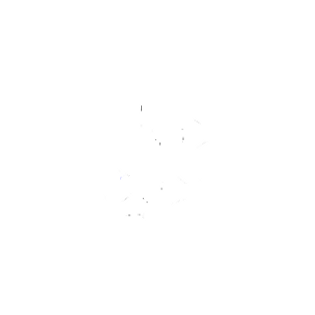 CCc1cnn(-c2ccc(F)cc2)c1/C=C(\C)CCC[C@@H](C)[C@@H](O)Cc1ccccc1F